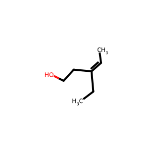 C/C=C(/CC)CCO